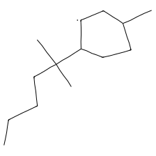 CCCCC(C)(C)C1[CH]CC(C)CC1